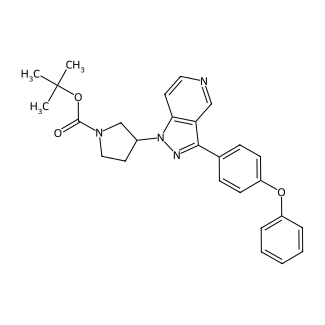 CC(C)(C)OC(=O)N1CCC(n2nc(-c3ccc(Oc4ccccc4)cc3)c3cnccc32)C1